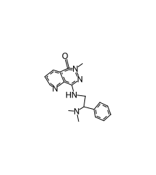 CN(C)C(CNc1nn(C)c(=O)c2cccnc12)c1ccccc1